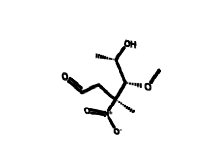 CO[C@@H]([C@H](C)O)[C@](C)(CC=O)[N+](=O)[O-]